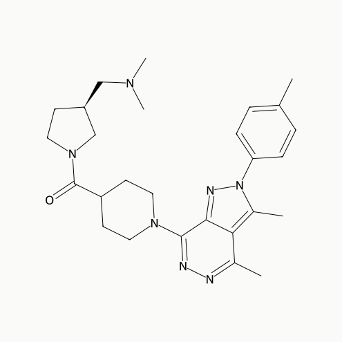 Cc1ccc(-n2nc3c(N4CCC(C(=O)N5CC[C@@H](CN(C)C)C5)CC4)nnc(C)c3c2C)cc1